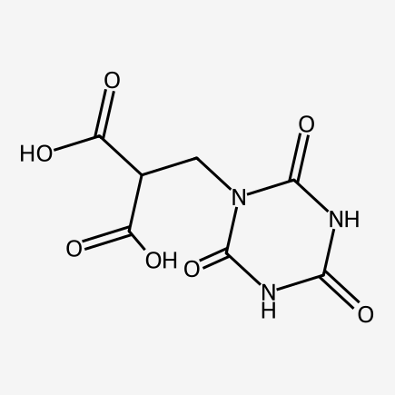 O=C(O)C(Cn1c(=O)[nH]c(=O)[nH]c1=O)C(=O)O